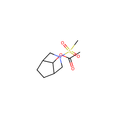 CC(=O)OC1C2CCC1CN(S(C)(=O)=O)C2